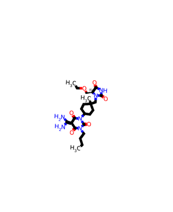 CCCCN1C(=O)C(=C(N)N)C(=O)N(C2CCC(C)(CN3C(=O)NC(=O)[C@@H]3COCC)CC2)C1=O